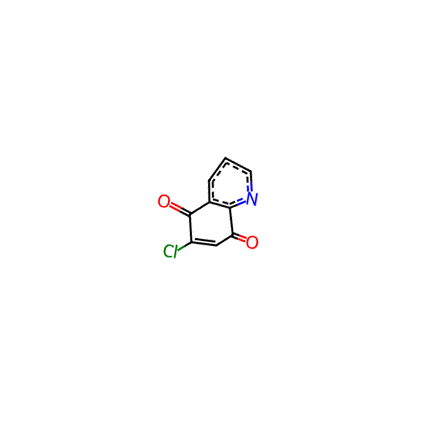 O=C1C(Cl)=CC(=O)c2ncccc21